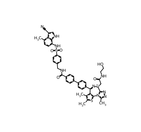 Cc1sc2c(c1C)C(c1ccc(-c3ccc(C(=O)NCc4ccc(S(=O)(=O)Nc5ccc(C)c6c(C#N)c[nH]c56)cc4)cc3)cc1)=N[C@@H](CC(=O)NCCO)c1nnc(C)n1-2